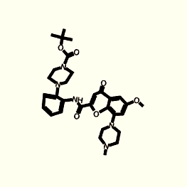 COc1cc(N2CCN(C)CC2)c2oc(C(=O)Nc3ccccc3N3CCN(C(=O)OC(C)(C)C)CC3)cc(=O)c2c1